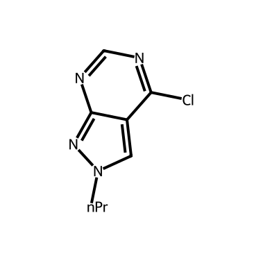 CCCn1cc2c(Cl)ncnc2n1